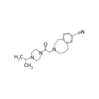 CC(C)N1CCN(C(=O)CN2CCCc3cc(C#N)ccc3CC2)CC1